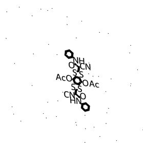 [C-]#[N+]C(C(=O)Nc1ccccc1)=C1Sc2c(OC(C)=O)c3c(c(OC(C)=O)c2S1)SC(=C(C#N)C(=O)Nc1ccccc1)S3